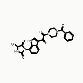 CC1NC(=O)N(c2cccc3c(C(=O)C(=O)N4CCN(C(=O)c5ccccc5)CC4)c[nH]c23)C1=O